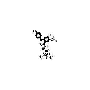 Cc1cc(C(=O)NNC(=O)OC(C)(C)C)c(C(=O)c2ccc(Cl)cc2)cc1C